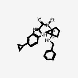 CCN(C(=O)c1nc2cc(C3CC3)ccc2[nH]1)[C@@]12CCC[C@]1(NCc1ccccc1)C2